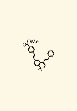 COC(=O)c1ccc(C=Cc2ccc3c(c2)C(C=Cc2ccccc2)=CCC3(C)C)cc1